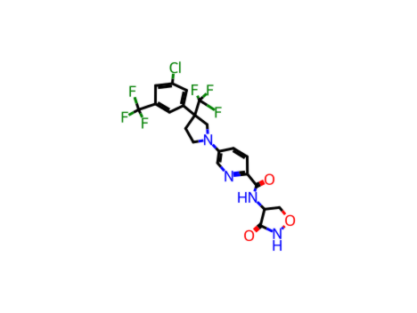 O=C(NC1CONC1=O)c1ccc(N2CCC(c3cc(Cl)cc(C(F)(F)F)c3)(C(F)(F)F)C2)cn1